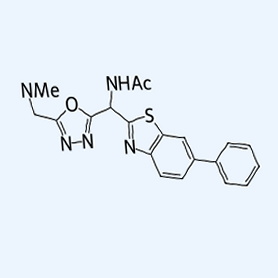 CNCc1nnc(C(NC(C)=O)c2nc3ccc(-c4ccccc4)cc3s2)o1